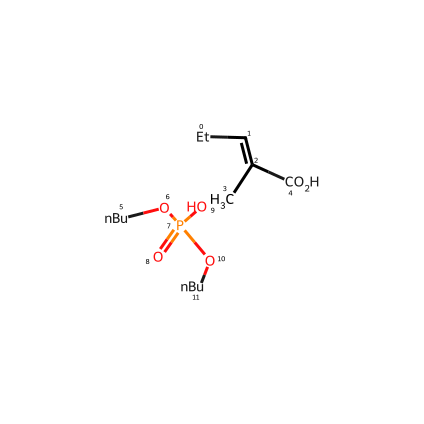 CCC=C(C)C(=O)O.CCCCOP(=O)(O)OCCCC